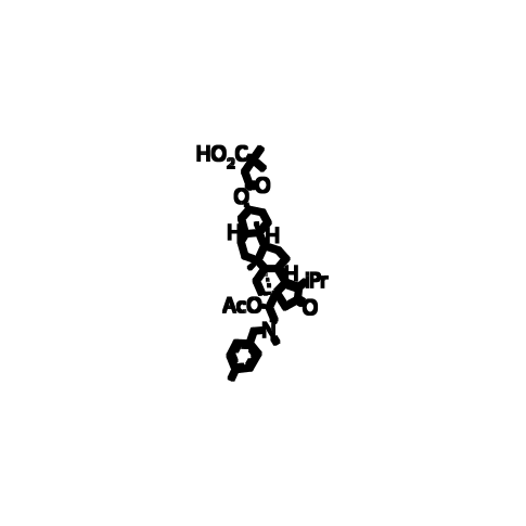 CC(=O)O[C@H](CN(C)Cc1ccc(C)cc1)[C@@]12CC[C@]3(C)[C@H](CC[C@@H]4[C@@]5(C)CC[C@H](OC(=O)CC(C)(C)C(=O)O)C[C@@H]5CC[C@]43C)C1=C(C(C)C)C(=O)C2